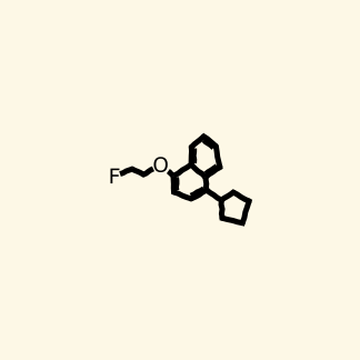 FCCOc1ccc(C2CCCC2)c2ccccc12